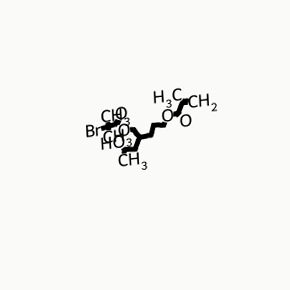 C=C(C)C(=O)OCCCC(COC(=O)C(C)(C)Br)CC(C)O